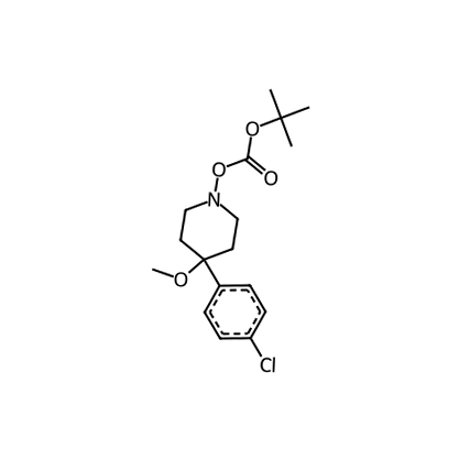 COC1(c2ccc(Cl)cc2)CCN(OC(=O)OC(C)(C)C)CC1